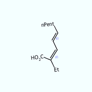 CCCCC/C=C/C=C(/CC)C(=O)O